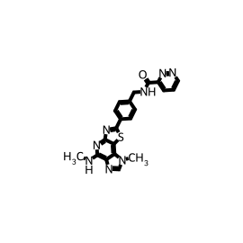 CNc1nc2nc(-c3ccc(CNC(=O)c4cccnn4)cc3)sc2c2c1ncn2C